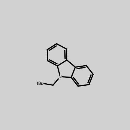 CC(C)(C)Cn1c2ccccc2c2ccccc21